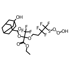 CCOC(=O)C(OCCC(F)(F)C(F)(F)SOOO)(OC(=O)C12CC3CC(CC(O)(C3)C1)C2)C(F)(F)F